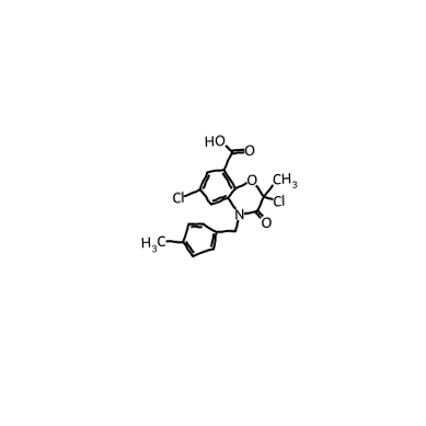 Cc1ccc(CN2C(=O)C(C)(Cl)Oc3c(C(=O)O)cc(Cl)cc32)cc1